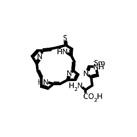 NC(Cc1c[nH]cn1)C(=O)O.S=C1C=C2C=C3C=CC(=N3)C=c3ccc([nH]3)=CC3=NC(=CC1N2)C=C3.[Sm]